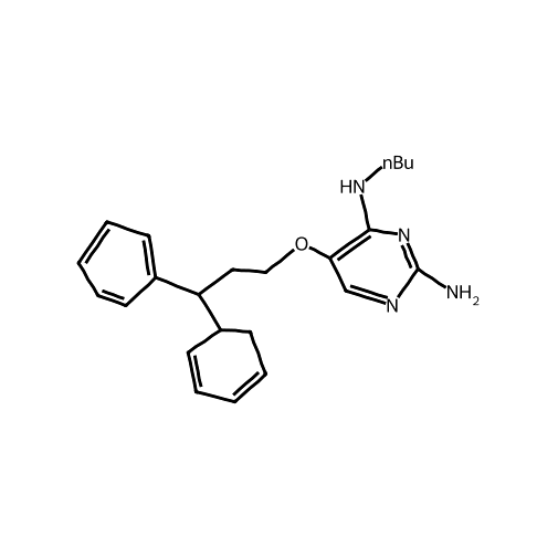 CCCCNc1nc(N)ncc1OCCC(c1ccccc1)C1C=CC=CC1